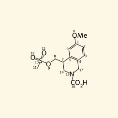 COc1ccc2c(c1)C(COS(C)(=O)=O)CN(C(=O)O)C2